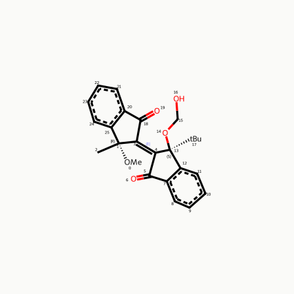 CO[C@@]1(C)/C(=C2\C(=O)c3ccccc3[C@@]2(OCO)C(C)(C)C)C(=O)c2ccccc21